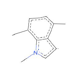 Cc1ccc(C)c2c1[c]cn2C